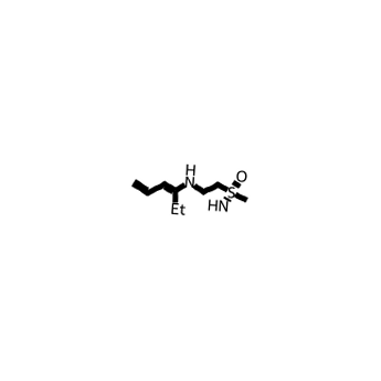 C=C/C=C(\CC)NCCS(C)(=N)=O